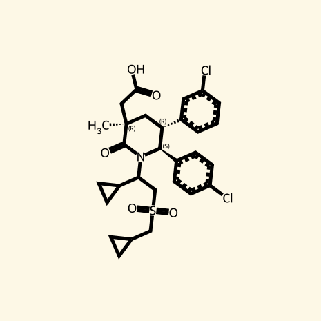 C[C@]1(CC(=O)O)C[C@H](c2cccc(Cl)c2)[C@@H](c2ccc(Cl)cc2)N(C(CS(=O)(=O)CC2CC2)C2CC2)C1=O